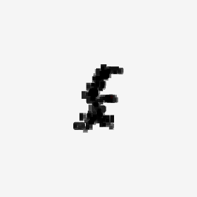 CCc1cc(Nc2nccn3c(-c4ccc(OC)c(F)c4F)cnc23)ccc1C(=O)NCCNC(=O)C(CNC(=N)N)NC(=O)[C@@H](N)CCC(=O)O.Cl.Cl.Cl